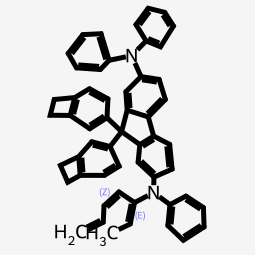 C=C/C=C\C(=C/C)N(c1ccccc1)c1ccc2c(c1)C(c1ccc3c(c1)CC3)(c1ccc3c(c1)CC3)c1cc(N(c3ccccc3)c3ccccc3)ccc1-2